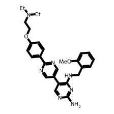 CCN(CC)CCOc1ccc(-c2ncc(-c3cnc(N)nc3NCc3ccccc3OC)cn2)cc1